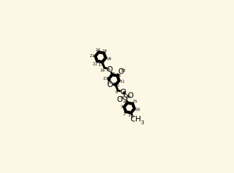 Cc1ccc(S(=O)(=O)OCc2cc(=O)c(OCc3ccccc3)co2)cc1